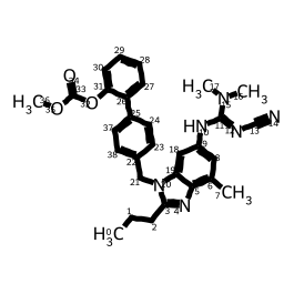 CCCc1nc2c(C)cc(NC(=NC#N)N(C)C)cc2n1Cc1ccc(-c2ccccc2OC(=O)OC)cc1